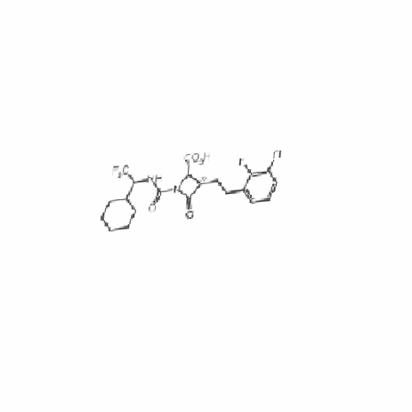 O=C(O)C1[C@@H](CCc2cccc(Cl)c2F)C(=O)N1C(=O)NC(C1CCCCC1)C(F)(F)F